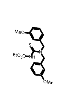 CCOC(=O)NC(=S)N(Cc1cccc(OC)c1)Cc1cccc(OC)c1